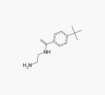 C=C(NCCN)c1ccc(C(C)(C)C)cc1